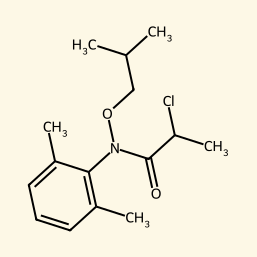 Cc1cccc(C)c1N(OCC(C)C)C(=O)C(C)Cl